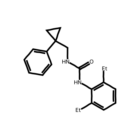 CCc1cccc(CC)c1NC(=O)NCC1(c2ccccc2)CC1